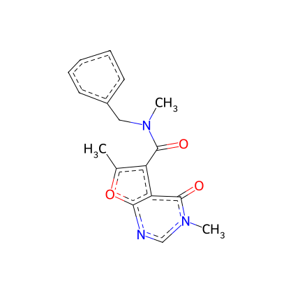 Cc1oc2ncn(C)c(=O)c2c1C(=O)N(C)Cc1ccccc1